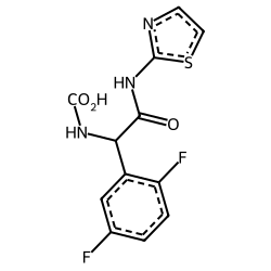 O=C(O)NC(C(=O)Nc1nccs1)c1cc(F)ccc1F